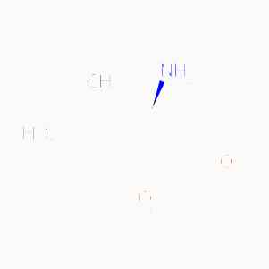 CC1(C)COC(=O)[C@@H]1N